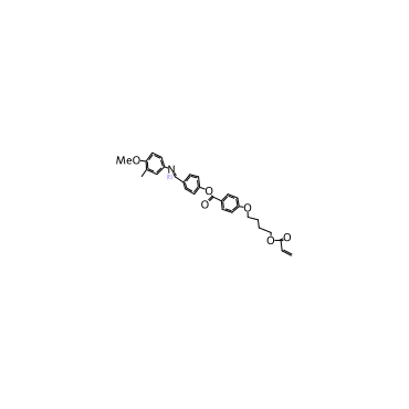 C=CC(=O)OCCCCOc1ccc(C(=O)Oc2ccc(/C=N/c3ccc(OC)c(C)c3)cc2)cc1